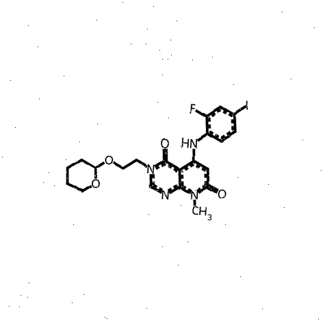 Cn1c(=O)cc(Nc2ccc(I)cc2F)c2c(=O)n(CCOC3CCCCO3)cnc21